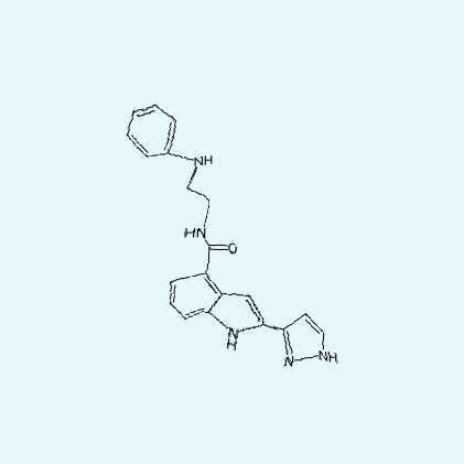 O=C(NCCNc1ccccc1)c1cccc2[nH]c(-c3cc[nH]n3)cc12